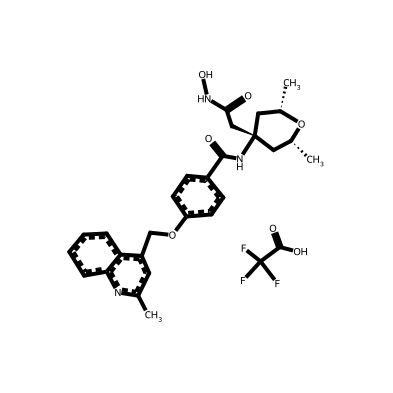 Cc1cc(COc2ccc(C(=O)N[C@@]3(CC(=O)NO)C[C@@H](C)O[C@@H](C)C3)cc2)c2ccccc2n1.O=C(O)C(F)(F)F